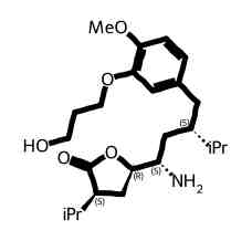 COc1ccc(C[C@@H](C[C@H](N)[C@H]2C[C@@H](C(C)C)C(=O)O2)C(C)C)cc1OCCCO